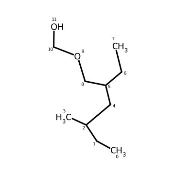 CCC(C)CC(CC)COCO